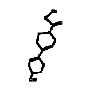 CC(C)(C)OC(=O)N1CC=C(C2=CCC(C=O)CC2)CC1